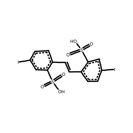 O=S(=O)(O)c1cc(I)ccc1/C=C/c1ccc(I)cc1S(=O)(=O)O